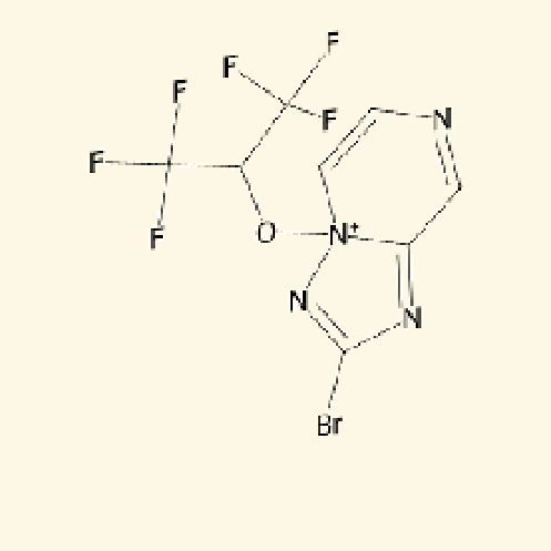 FC(F)(F)C(O[N+]12C=CN=CC1=NC(Br)=N2)C(F)(F)F